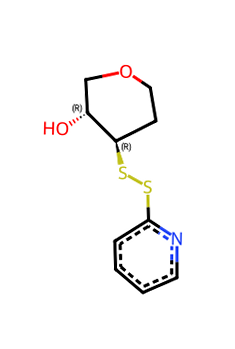 O[C@@H]1COCC[C@H]1SSc1ccccn1